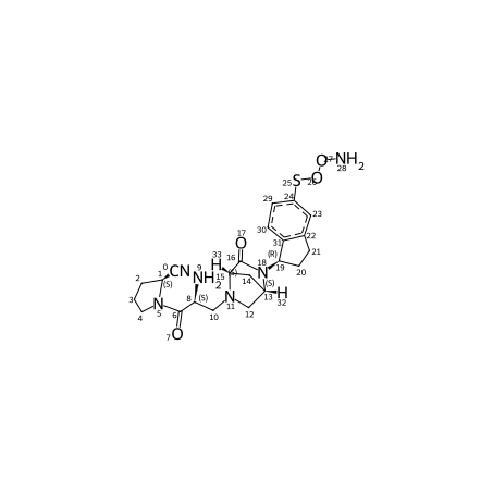 N#C[C@@H]1CCCN1C(=O)[C@@H](N)CN1C[C@@H]2C[C@H]1C(=O)N2[C@@H]1CCc2cc(SOON)ccc21